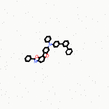 C1=CCCC(c2cccc(-c3ccc(N(c4ccccc4)c4ccc5c(c4)oc4ccc6nc(-c7ccccc7)oc6c45)cc3)c2)=C1